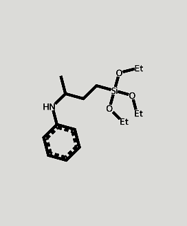 CCO[Si](CCC(C)Nc1ccccc1)(OCC)OCC